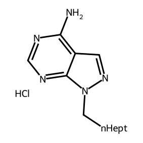 CCCCCCCCn1ncc2c(N)ncnc21.Cl